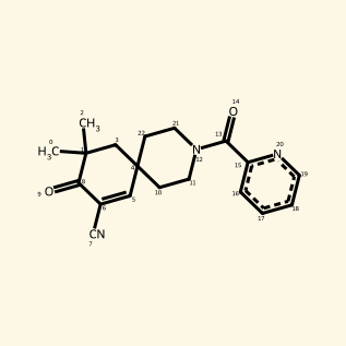 CC1(C)CC2(C=C(C#N)C1=O)CCN(C(=O)c1ccccn1)CC2